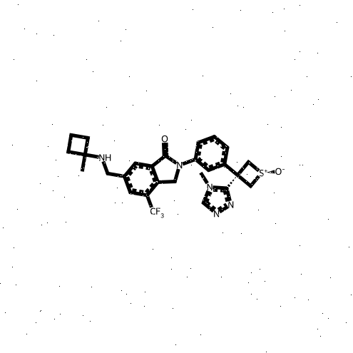 Cn1cnnc1[C@]1(c2cccc(N3Cc4c(cc(CNC5(C)CCC5)cc4C(F)(F)F)C3=O)c2)C[S@@+]([O-])C1